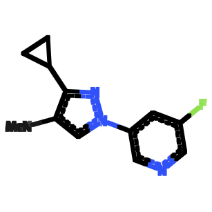 CNc1cn(-c2cncc(F)c2)nc1C1CC1